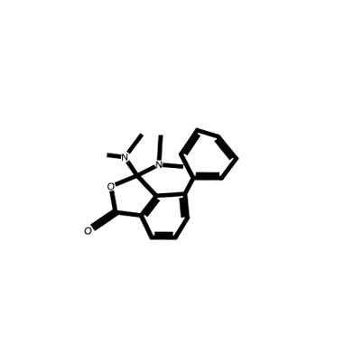 CN(C)C1(N(C)C)OC(=O)c2cccc(-c3ccccc3)c21